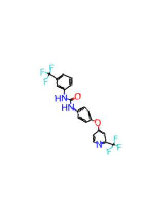 O=C(Nc1ccc(Oc2ccnc(C(F)(F)F)c2)cc1)Nc1cccc(C(F)(F)F)c1